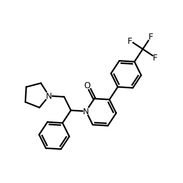 O=c1c(-c2ccc(C(F)(F)F)cc2)cccn1C(CN1CCCC1)c1ccccc1